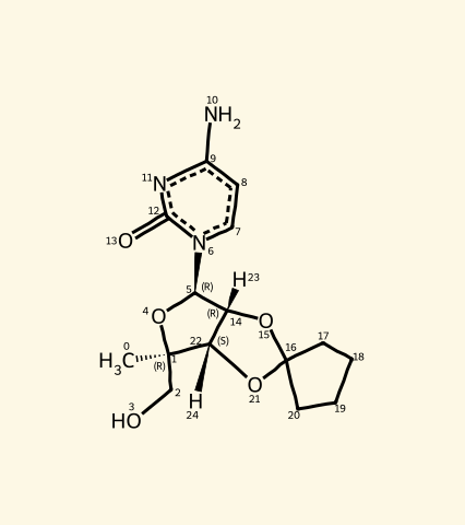 C[C@]1(CO)O[C@@H](n2ccc(N)nc2=O)[C@@H]2OC3(CCCC3)O[C@@H]21